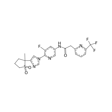 CC1(c2cn(-c3ncc(NC(=O)Cc4cccc(C(F)(F)F)n4)cc3F)cn2)CCCS1(=O)=O